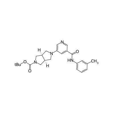 Cc1cccc(NC(=O)c2cncc(N3C[C@H]4CN(C(=O)OC(C)(C)C)C[C@H]4C3)c2)c1